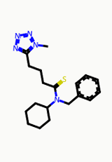 Cn1nnnc1CCCC(=S)N(Cc1ccccc1)C1CCCCC1